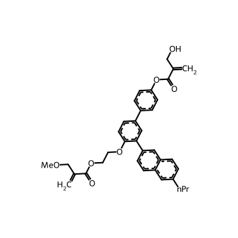 C=C(COC)C(=O)OCCOc1ccc(-c2ccc(OC(=O)C(=C)CO)cc2)cc1-c1ccc2cc(CCC)ccc2c1